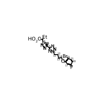 CCC(C(=O)O)n1nnc(-c2nnn(CCCCOc3cc(F)ccc3Br)n2)n1